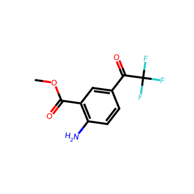 COC(=O)c1cc(C(=O)C(F)(F)F)ccc1N